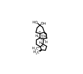 C=C1CC[C@H]2[C@@H]3CC=C4CC(O)(O)CC[C@]4(C)[C@@H]3CC[C@]12C